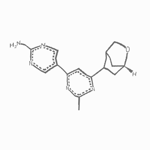 Cc1nc(-c2cnc(N)nc2)cc(C2C[C@@H]3CC2CO3)n1